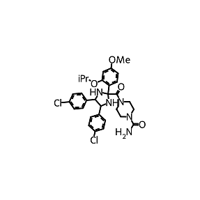 COc1ccc(C2(C(=O)N3CCN(C(N)=O)CC3)NC(c3ccc(Cl)cc3)C(c3ccc(Cl)cc3)N2)c(OC(C)C)c1